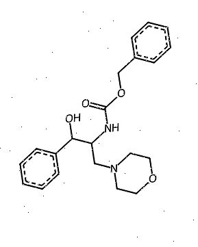 O=C(NC(CN1CCOCC1)C(O)c1ccccc1)OCc1ccccc1